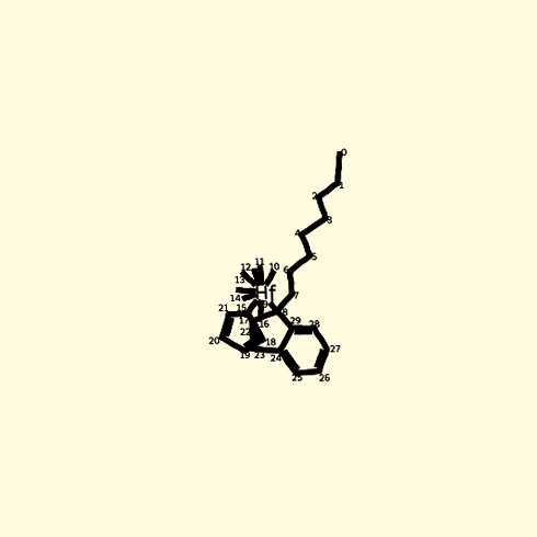 CCCCCCCC[C]1([Hf]([CH3])([CH3])([CH3])([CH3])([CH3])([CH3])([CH3])[CH]2C=CC=C2)C=Cc2ccccc21